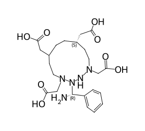 N[C@@H](c1ccccc1)N1NN(CC(=O)O)CC[C@@H](CC(=O)O)CCC(CC(=O)O)CCN1CC(=O)O